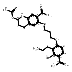 CCCc1c(OCCCOc2cc3c(cc2C(C)=O)OC(OC(=O)O)CC3)ccc(C(C)=O)c1O